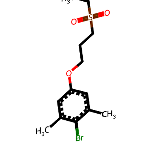 CCS(=O)(=O)CCCOc1cc(C)c(Br)c(C)c1